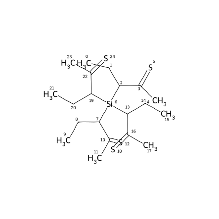 CCC(C(C)=S)[Si](C(CC)C(C)=S)(C(CC)C(C)=S)C(CC)C(C)=S